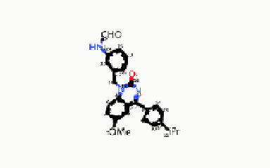 COc1ccc2c(c1)c(-c1ccc(C(C)C)cc1)nc(=O)n2Cc1cccc(NC=O)c1